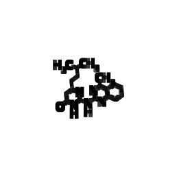 Cc1nc(Nc2nc(CCC(C)C)cc(=O)[nH]2)nc2ccccc12